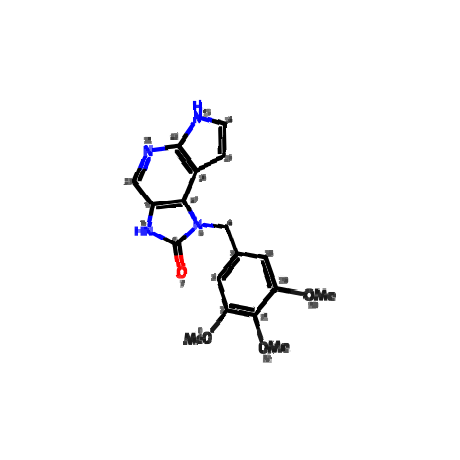 COc1cc(Cn2c(=O)[nH]c3cnc4[nH]ccc4c32)cc(OC)c1OC